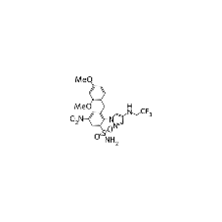 COc1ccc(Cc2cc([N+](=O)[O-])cc(S(N)(=O)=O)c2-n2cc(NCC(F)(F)F)cn2)c(OC)c1